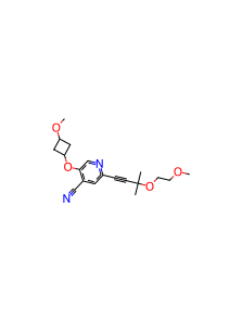 COCCOC(C)(C)C#Cc1cc(C#N)c(OC2CC(OC)C2)cn1